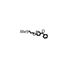 CSCCCOc1bcc(C(=O)c2ccccc2)cc1